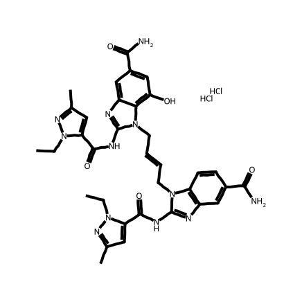 CCn1nc(C)cc1C(=O)Nc1nc2cc(C(N)=O)ccc2n1C/C=C/Cn1c(NC(=O)c2cc(C)nn2CC)nc2cc(C(N)=O)cc(O)c21.Cl.Cl